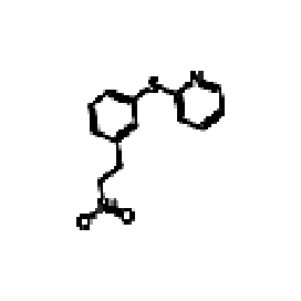 O=[N+]([O-])CCc1cccc(Sc2ccccn2)c1